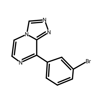 Brc1cccc(-c2nccn3cnnc23)c1